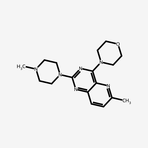 Cc1ccc2nc(N3CCN(C)CC3)nc(N3CCOCC3)c2n1